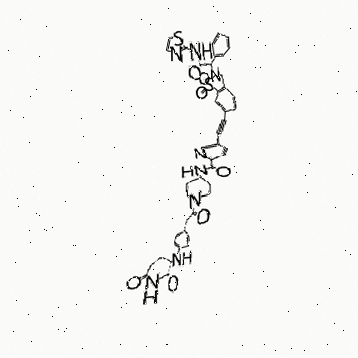 O=C1CCC(Nc2ccc(CC(=O)N3CCC(NC(=O)c4ccc(C#Cc5ccc6c(c5)S(=O)(=O)N(C(C(=O)Nc5nccs5)c5ccccc5)C6)cn4)CC3)cc2)C(=O)N1